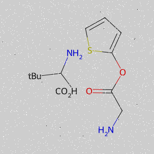 CC(C)(C)C(N)C(=O)O.NCC(=O)Oc1cccs1